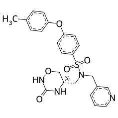 Cc1ccc(Oc2ccc(S(=O)(=O)N(Cc3cccnc3)C[C@H]3CONC(=O)N3)cc2)cc1